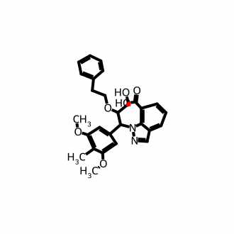 COc1cc(C(C(CO)OCCc2ccccc2)n2ncc3cccc(C(=O)O)c32)cc(OC)c1C